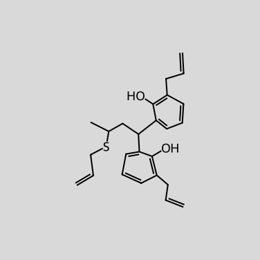 C=CCSC(C)CC(c1cccc(CC=C)c1O)c1cccc(CC=C)c1O